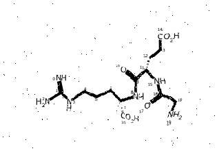 N=C(N)NCCC[C@H](NC(=O)[C@H](CCC(=O)O)NC(=O)CN)C(=O)O